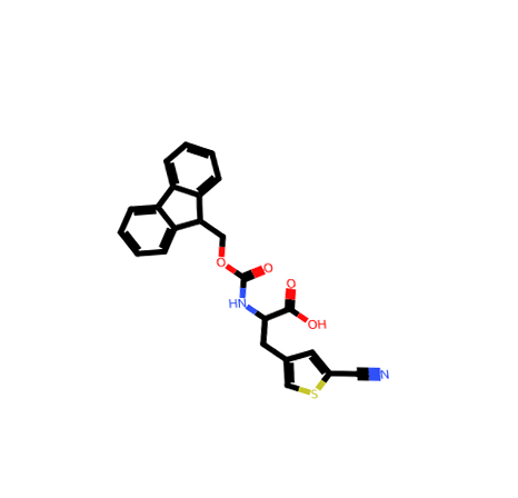 N#Cc1cc(CC(NC(=O)OCC2c3ccccc3-c3ccccc32)C(=O)O)cs1